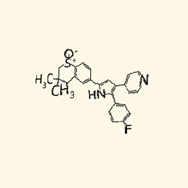 CC1(C)Cc2cc(-c3cc(-c4ccncc4)c(-c4ccc(F)cc4)[nH]3)ccc2[S+]([O-])C1